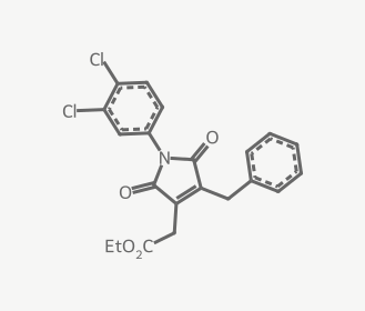 CCOC(=O)CC1=C(Cc2ccccc2)C(=O)N(c2ccc(Cl)c(Cl)c2)C1=O